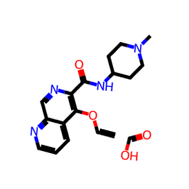 C=COc1c(C(=O)NC2CCN(C)CC2)ncc2ncccc12.O=CO